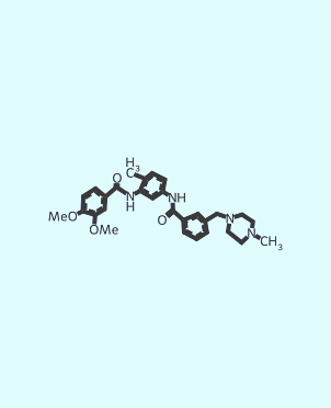 COc1ccc(C(=O)Nc2cc(NC(=O)c3cccc(CN4CCN(C)CC4)c3)ccc2C)cc1OC